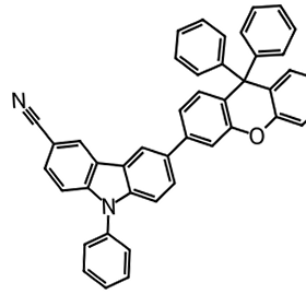 N#Cc1ccc2c(c1)c1cc(-c3ccc4c(c3)Oc3ccccc3C4(c3ccccc3)c3ccccc3)ccc1n2-c1ccccc1